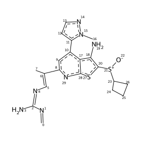 C=N/C(N)=N\C=C(/C)c1cc(-c2ccnn2C)c2c(N)c([S+]([O-])C3CCC3)sc2n1